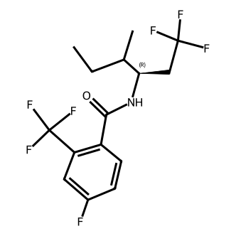 CCC(C)[C@@H](CC(F)(F)F)NC(=O)c1ccc(F)cc1C(F)(F)F